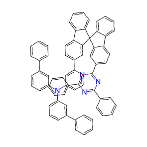 c1ccc(-c2cccc(N(c3cccc(-c4ccccc4)c3)c3cccc(-c4ccc5c(c4)C4(c6ccccc6-5)c5ccccc5-c5ccc(-c6nc(-c7ccccc7)nc(-c7ccccc7)n6)cc54)c3)c2)cc1